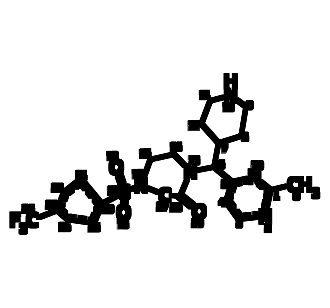 Cc1nccc(C(C2CCNCC2)N2CCN(S(=O)(=O)c3ccc(C(F)(F)F)cc3)CC2=O)n1